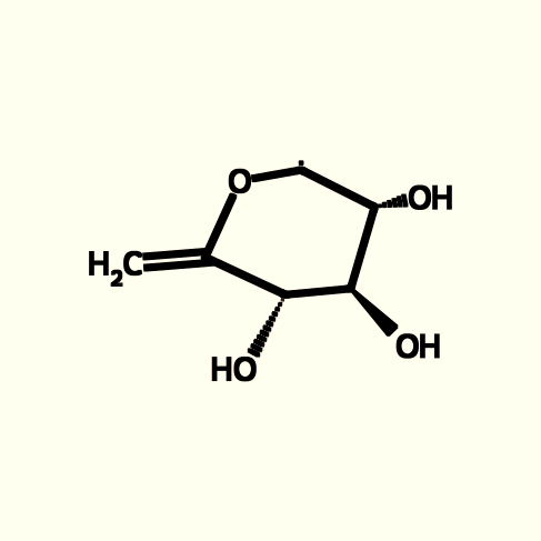 C=C1O[CH][C@H](O)[C@@H](O)[C@@H]1O